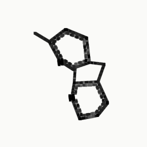 Cc1ccc2c(n1)-c1ncccc1C2